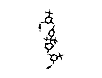 N#CNc1cc(Oc2ccc(C(c3ccc(Oc4cc(NC#N)cc(C(F)(F)F)c4)cc3)(C(F)(F)F)C(F)(F)F)cc2)cc(C(F)(F)F)c1